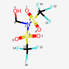 O=S(=O)(N(CO)S(=O)(=O)C(F)(F)F)C(F)(F)F